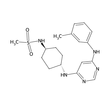 Cc1cccc(Nc2cc(N[C@H]3CC[C@H](NS(C)(=O)=O)CC3)ncn2)c1